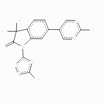 Cc1ncc(-c2ccc3c(c2)N(c2nc(C)ns2)C(=O)C3(C)C)cn1